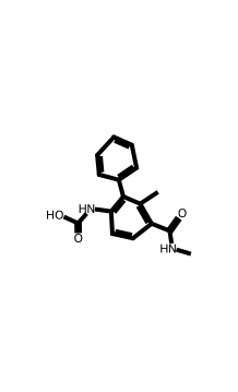 CNC(=O)c1ccc(NC(=O)O)c(-c2ccccc2)c1C